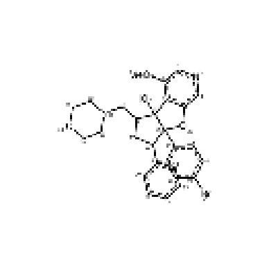 COc1cncc2c1C1(O)C(CN3CCOCC3)CC(c3ccccc3)C1(c1ccc(Br)cc1)O2